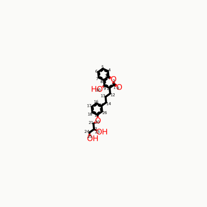 O=c1oc2ccccc2c(O)c1CCCc1cccc(OCC(O)CO)c1